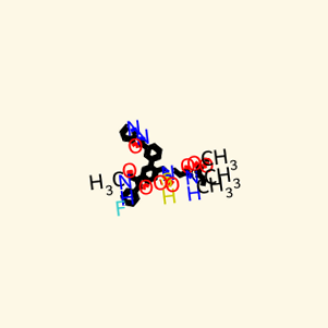 CNC(=O)c1c(-c2ccc(F)cc2)oc2cc(CN(CCC(=O)N[C@H](C(=O)OC)C(C)C)[SH](=O)=O)c(-c3cccc(-c4nc5ncccc5o4)c3)cc12